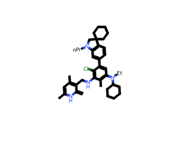 C=C1NC(C)=CC(C)=C1CNc1c(C)c(N(CC)C2CCCCC2)cc(-c2ccc3c(c2)N(CCC)CC32CCCCC2)c1Cl